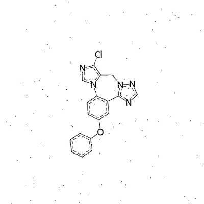 Clc1ncn2c1Cn1ncnc1-c1cc(Oc3ccccc3)ccc1-2